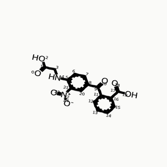 O=C(O)CNc1ccc(C(=O)c2ccccc2C(=O)O)cc1[N+](=O)[O-]